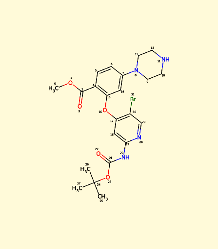 COC(=O)c1ccc(N2CCNCC2)cc1Oc1cc(NC(=O)OC(C)(C)C)ncc1Br